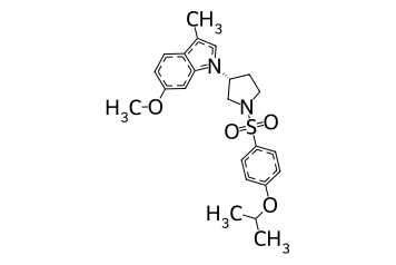 COc1ccc2c(C)cn([C@@H]3CCN(S(=O)(=O)c4ccc(OC(C)C)cc4)C3)c2c1